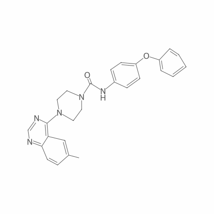 Cc1ccc2ncnc(N3CCN(C(=O)Nc4ccc(Oc5ccccc5)cc4)CC3)c2c1